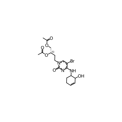 CC(=O)OC[C@H](CCn1cc(Br)c(NC2CCC=CC2O)nc1=O)OC(C)=O